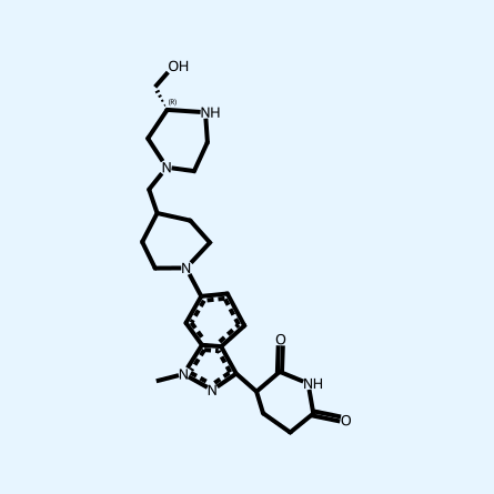 Cn1nc(C2CCC(=O)NC2=O)c2ccc(N3CCC(CN4CCN[C@@H](CO)C4)CC3)cc21